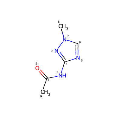 CC(=O)Nc1ncn(C)n1